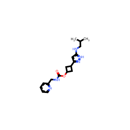 CC(C)CNc1cc(C2CC(OC(=O)NCc3ccccn3)C2)n[nH]1